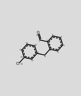 O=Cc1ccccc1Cc1cccc(Cl)c1